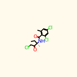 CC[C@@](C)(NC(=O)c1c(C)cc(Cl)cc1Cl)C(=O)CCl